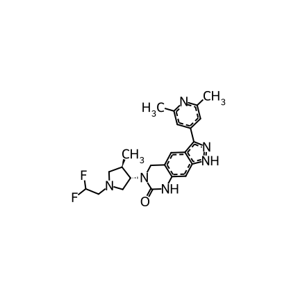 Cc1cc(-c2n[nH]c3cc4c(cc23)CN([C@@H]2CN(CC(F)F)C[C@H]2C)C(=O)N4)cc(C)n1